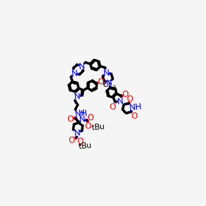 CC(C)(C)OC(=O)NC1(C(=O)NCCCn2cc(-c3ccc(OC(F)(F)F)cc3)c3cc(CN4CCN(Cc5ccc(CN6CCN(c7ccc8c(c7)C(=O)N(C7CCC(=O)NC7=O)C8=O)CC6)cc5)CC4)ccc32)CCN(C(=O)OC(C)(C)C)CC1